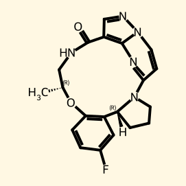 C[C@@H]1CNC(=O)c2cnn3ccc(nc23)N2CCC[C@@H]2c2cc(F)ccc2O1